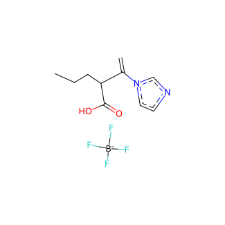 C=C(C(CCC)C(=O)O)n1ccnc1.F[B-](F)(F)F